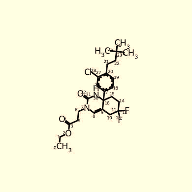 CCOC(=O)CCN1C=C2CC(F)(F)CCC2(c2ccc(CCC(C)(C)C)c(Cl)c2)NC1=O